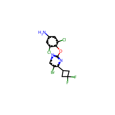 Nc1cc(Cl)c(Oc2ncc(Br)c(C3CC(F)(F)C3)n2)c(Cl)c1